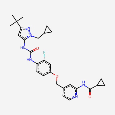 CC(C)(C)c1cc(NC(=O)Nc2ccc(OCc3ccnc(NC(=O)C4CC4)c3)cc2F)n(CC2CC2)n1